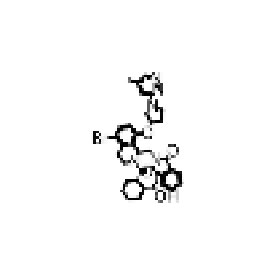 Cc1cnnc(N2CC[C@H](Oc3ccc(Br)c4c3C(CN3Cc5ccccc5C3=O)N(C(=O)[C@@H]3CCCC[C@@H]3C(=O)O)CC4)C2)c1